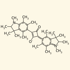 Cc1c(C)c2c(c(C)c1C1=C([O-])/C(=c3\c(C)c(C)c4c(c3C)C(C)(C)C(C)[N+]=4C)C1=O)C(C)(C)C(C)N2C